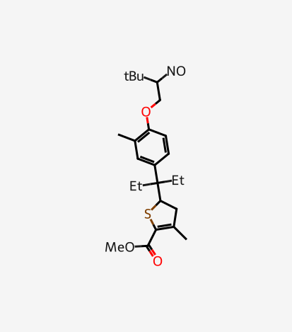 CCC(CC)(c1ccc(OCC(N=O)C(C)(C)C)c(C)c1)C1CC(C)=C(C(=O)OC)S1